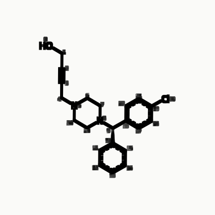 OCC#CCN1CCN([C@H](c2ccccc2)c2ccc(Cl)cc2)CC1